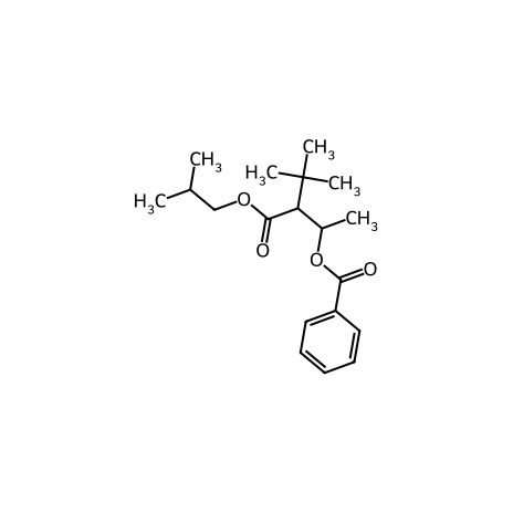 CC(C)COC(=O)C(C(C)OC(=O)c1ccccc1)C(C)(C)C